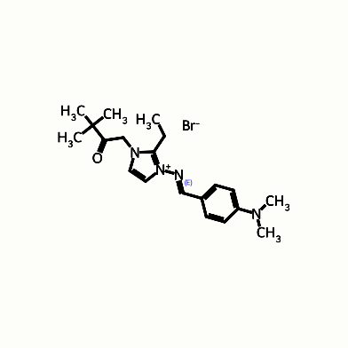 CCc1n(CC(=O)C(C)(C)C)cc[n+]1/N=C/c1ccc(N(C)C)cc1.[Br-]